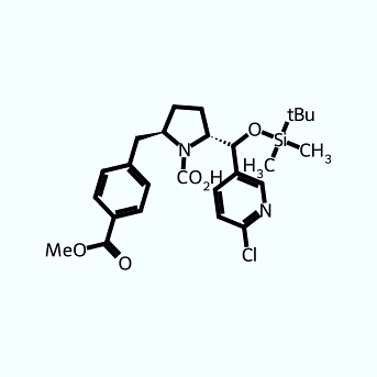 COC(=O)c1ccc(C[C@H]2CC[C@H](C(O[Si](C)(C)C(C)(C)C)c3ccc(Cl)nc3)N2C(=O)O)cc1